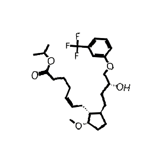 CO[C@H]1CC[C@H](CC[C@@H](O)COc2cccc(C(F)(F)F)c2)[C@H]1C/C=C\CCCC(=O)OC(C)C